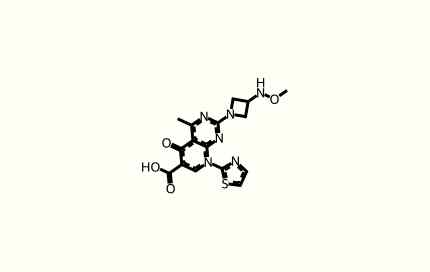 CONC1CN(c2nc(C)c3c(=O)c(C(=O)O)cn(-c4nccs4)c3n2)C1